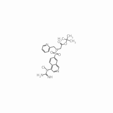 CC(C)(C)OC(=O)CN(Cc1ccccn1)S(=O)(=O)c1ccc2c(N(Cl)C(=N)N)cncc2c1